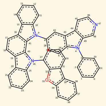 c1ccc(-n2c3ccc(-n4c5ccccc5c5ccc6c7ccccc7n(-c7cccc8c7oc7ccccc78)c6c54)cc3c3ccncc32)cc1